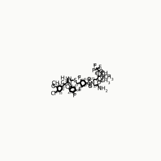 COc1cc(C(C)(C)c2cnc(SCc3c(F)cc(S(=O)(=O)N(CCC(OC(=O)C(F)(F)F)[N+](C)(C)C)CC(N)=O)cc3F)n2-c2ccc(F)cc2)ccc1Cl